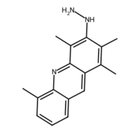 Cc1c(NN)c(C)c2nc3c(C)cccc3cc2c1C